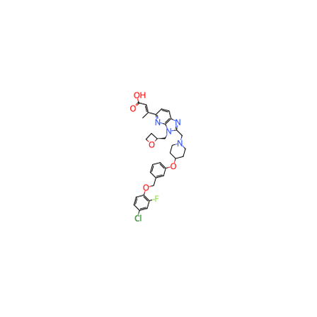 C/C(=C\C(=O)O)c1ccc2nc(CN3CCC(Oc4cccc(COc5ccc(Cl)cc5F)c4)CC3)n(C[C@@H]3CCO3)c2n1